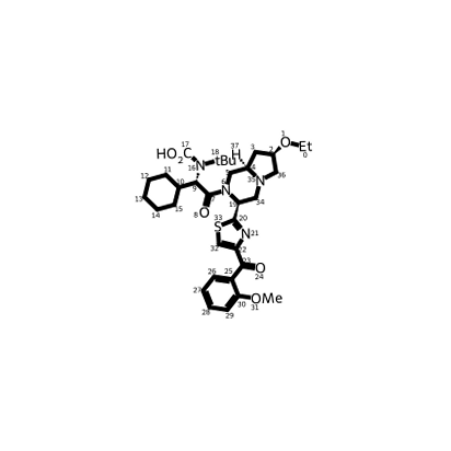 CCO[C@@H]1C[C@@H]2CN(C(=O)[C@H](C3CCCCC3)N(C(=O)O)C(C)(C)C)[C@H](c3nc(C(=O)c4ccccc4OC)cs3)CN2C1